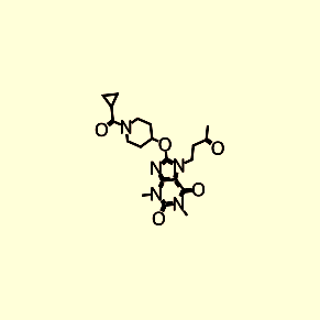 CC(=O)CCn1c(OC2CCN(C(=O)C3CC3)CC2)nc2c1c(=O)n(C)c(=O)n2C